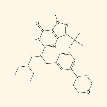 CCC(CC)CN(Cc1cccc(N2CCOCC2)c1)c1nc2c(C(C)(C)C)nn(C)c2c(=O)[nH]1